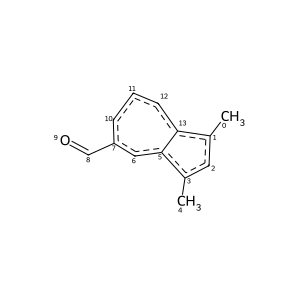 Cc1cc(C)c2cc(C=O)cccc1-2